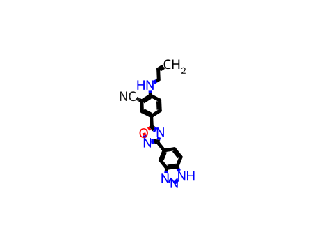 C=CCNc1ccc(-c2nc(-c3ccc4[nH]nnc4c3)no2)cc1C#N